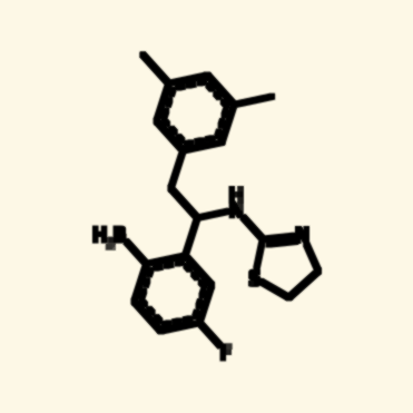 Bc1ccc(F)cc1C(Cc1cc(C)cc(C)c1)NC1=NCCS1